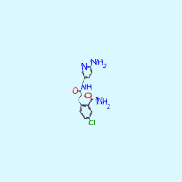 NC(=O)c1cc(Cl)ccc1C[CH]C(=O)NCc1ccc(N)nc1